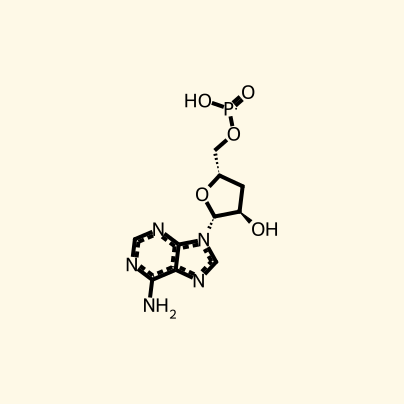 Nc1ncnc2c1ncn2[C@@H]1O[C@H](CO[P](=O)O)C[C@H]1O